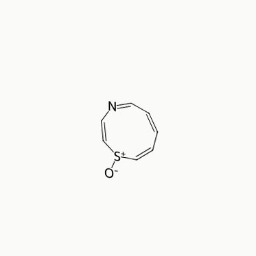 [O-][s+]1cccccncc1